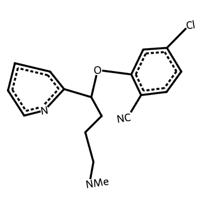 CNCCCC(Oc1cc(Cl)ccc1C#N)c1ccccn1